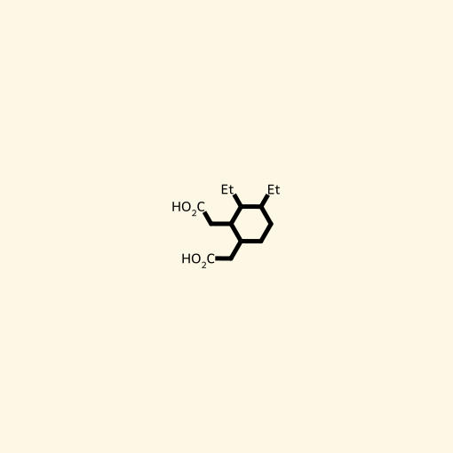 CCC1CCC(CC(=O)O)C(CC(=O)O)C1CC